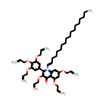 C=CCOc1cc(OCC=C)c2c(=O)c(OCC=C)c(-c3cc(OCC=C)c(OCC=C)c(OCC=C)c3)n(C=CCCCCCCCCCCCCCCCC)c2c1